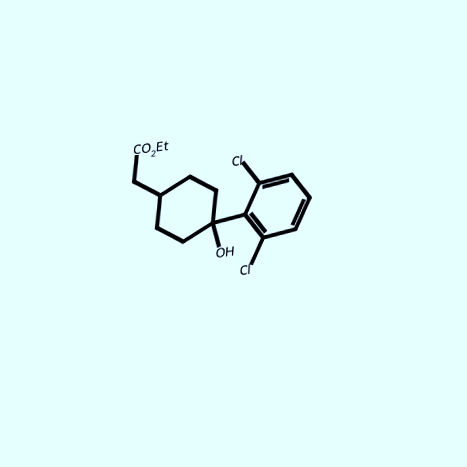 CCOC(=O)CC1CCC(O)(c2c(Cl)cccc2Cl)CC1